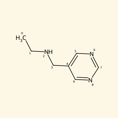 CCNCc1cncnc1